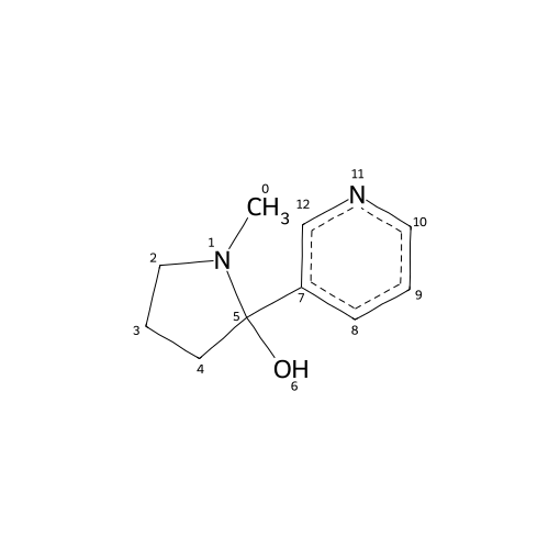 CN1CCCC1(O)c1cccnc1